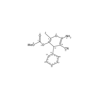 COC(=O)OC1=C(C)OC(N)=C(C#N)C1c1ccccc1